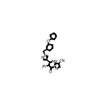 CC(C)c1c(-c2cnn(Cc3cccc(Oc4ccccc4)c3)c2)[nH]c2c(C#N)cnn2c1=O